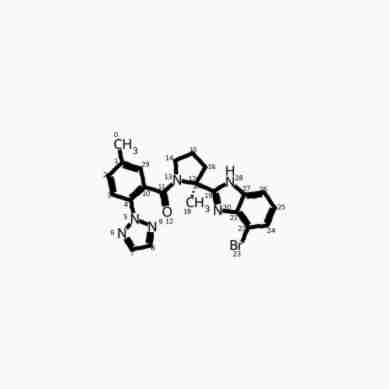 Cc1ccc(-n2nccn2)c(C(=O)N2CCC[C@@]2(C)c2nc3c(Br)cccc3[nH]2)c1